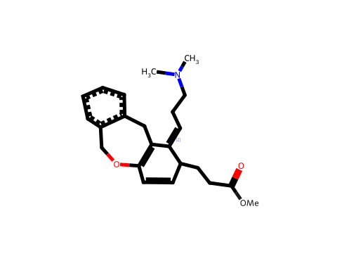 COC(=O)CCC1C=CC2=C(Cc3ccccc3CO2)/C1=C\CCN(C)C